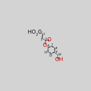 O=C(O)/C=C/C(=O)Oc1ccc(CO)cc1